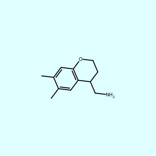 Cc1cc2c(cc1C)C(CN)CCO2